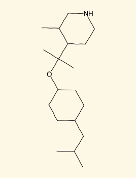 CC(C)CC1CCC(OC(C)(C)C2CCNCC2C)CC1